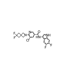 O=C(Nc1c[nH]c2cc(F)c(F)cc12)c1cnc(N2CC3(C2)CC(F)(F)C3)c(Cl)c1